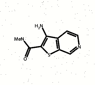 CNC(=O)c1sc2cnccc2c1N